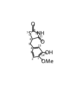 COc1ccc(CC2SC(=O)NC2=O)cc1O